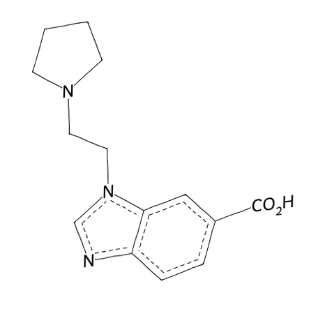 O=C(O)c1ccc2ncn(CCN3CCCC3)c2c1